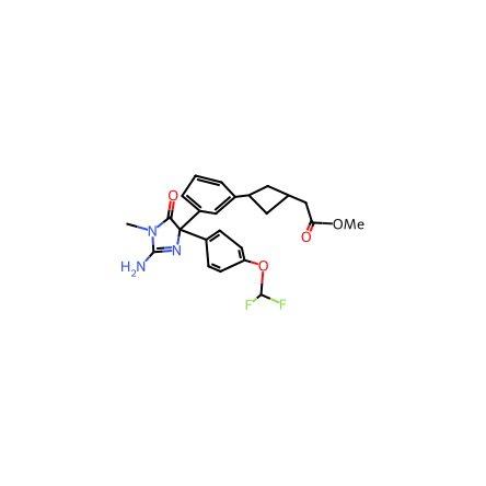 COC(=O)CC1CC(c2cccc(C3(c4ccc(OC(F)F)cc4)N=C(N)N(C)C3=O)c2)C1